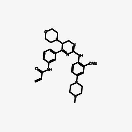 C=CC(=O)Nc1cccc(C2=NC(Nc3ccc(N4CCN(C)CC4)cc3OC)=NCC2N2CCOCC2)c1